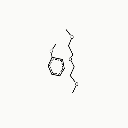 COCCOCCOC.COc1ccccc1